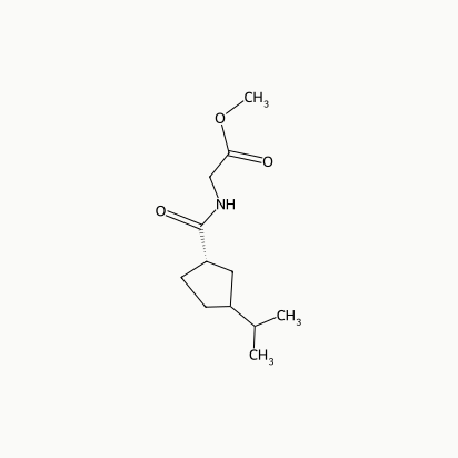 COC(=O)CNC(=O)[C@H]1CCC(C(C)C)C1